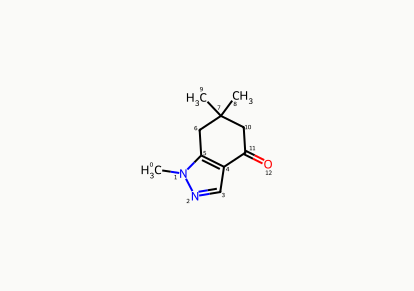 Cn1ncc2c1CC(C)(C)CC2=O